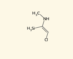 CNC([SiH3])=CCl